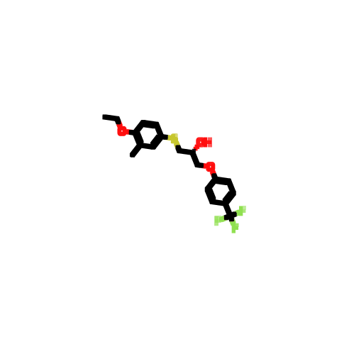 CCOc1ccc(SC[C@H](O)COc2ccc(C(F)(F)F)cc2)cc1C